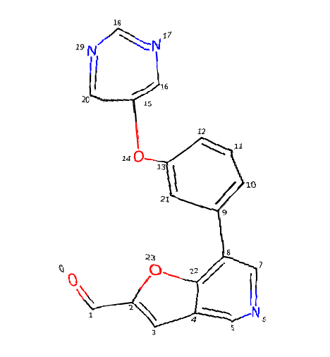 O=Cc1cc2cncc(-c3cccc(Oc4cncnc4)c3)c2o1